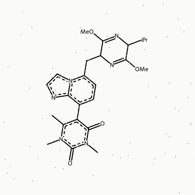 COC1=NC(C(C)C)C(OC)=NC1Cc1ccc(-c2c(C)n(C)c(=O)n(C)c2=O)c2nccn12